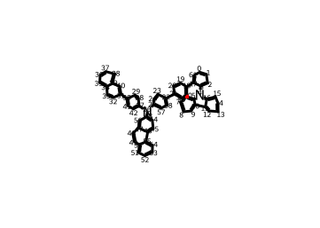 c1ccc(-n2c3ccccc3c3ccccc32)c(-c2ccc(-c3ccc(N(c4ccc(-c5ccc6ccccc6c5)cc4)c4ccc5c(ccc6ccccc65)c4)cc3)cc2)c1